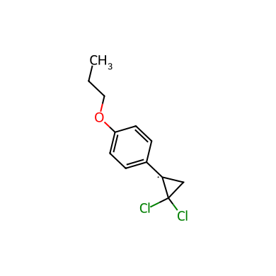 CCCOc1ccc([C]2CC2(Cl)Cl)cc1